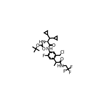 CC(C(=O)NCC(F)(F)F)c1cc(F)c(NC(=O)[C@@H](NC(=O)OC(C)(C)C)C(C2CC2)C2CC2)cc1CCl